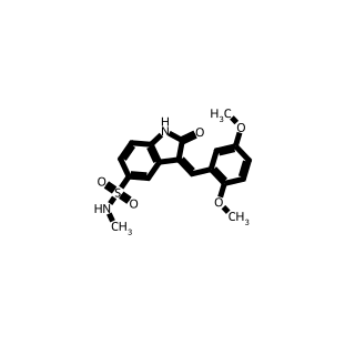 CNS(=O)(=O)c1ccc2c(c1)C(=Cc1cc(OC)ccc1OC)C(=O)N2